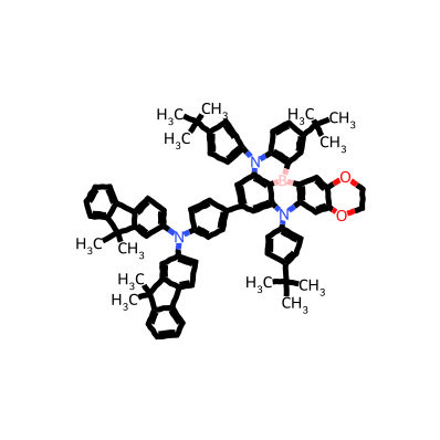 CC(C)(C)c1ccc(N2c3ccc(C(C)(C)C)cc3B3c4cc5c(cc4N(c4ccc(C(C)(C)C)cc4)c4cc(-c6ccc(N(c7ccc8c(c7)C(C)(C)c7ccccc7-8)c7ccc8c(c7)C(C)(C)c7ccccc7-8)cc6)cc2c43)OCCO5)cc1